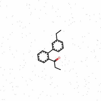 CCC(=O)c1ccccc1-c1cccc(CC)c1